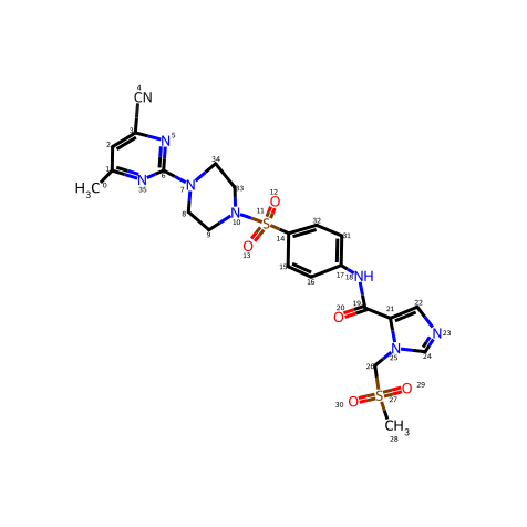 Cc1cc(C#N)nc(N2CCN(S(=O)(=O)c3ccc(NC(=O)c4cncn4CS(C)(=O)=O)cc3)CC2)n1